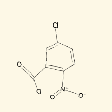 O=C(Cl)c1cc(Cl)ccc1[N+](=O)[O-]